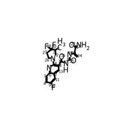 CC1CN(c2nc3ccc(F)cc3cc2C(=O)Nc2nc(C(N)=O)co2)CCC1(F)F